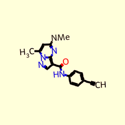 C#Cc1ccc(NC(=O)c2cnn3c(C)cc(NC)nc23)cc1